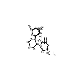 CC1=CNC(NC2(c3cc(F)cc(F)c3)CCCCC2)N=C1